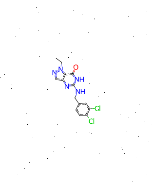 CCn1ncc2nc(NCc3ccc(Cl)c(Cl)c3)[nH]c(=O)c21